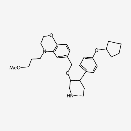 COCCCN1CCOc2ccc(COC3CNCCC3c3ccc(OC4CCCC4)cc3)cc21